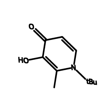 Cc1c(O)c(=O)ccn1C(C)(C)C